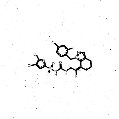 O=C(NC/C(F)=C1/CCCc2cnn(Cc3ccc(Cl)cc3Cl)c21)NS(=O)(=O)c1cc(Cl)c(Cl)s1